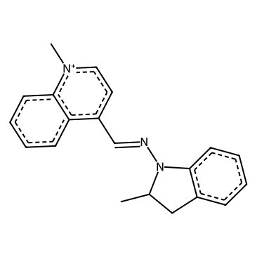 CC1Cc2ccccc2N1/N=C/c1cc[n+](C)c2ccccc12